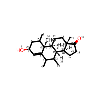 CC1C2=C[C@@H](O)CC(C)[C@]2(C=O)[C@H]2CC[C@]3(C)C(=O)CC[C@H]3[C@@H]2C1C